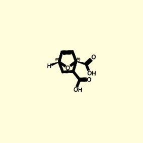 O=C(O)C1C[C@@H]2C=C[C@@]1(C(=O)O)O2